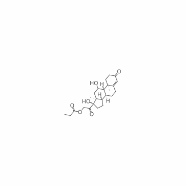 CCC(=O)OCC(=O)[C@@]1(O)CC[C@H]2[C@@H]3CCC4=CC(=O)CC[C@]4(C)[C@H]3C(O)C[C@@]21C